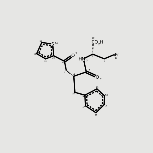 CC(C)C[C@H](NC(=O)[C@@H](CC(=O)c1cccs1)Cc1ccccc1)C(=O)O